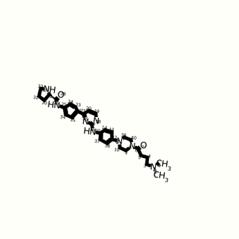 CN(C)CCCC(=O)N1CCN(c2ccc(Nc3nccc(-c4ccc(NC(=O)[C@H]5CCCN5)cc4)n3)cc2)CC1